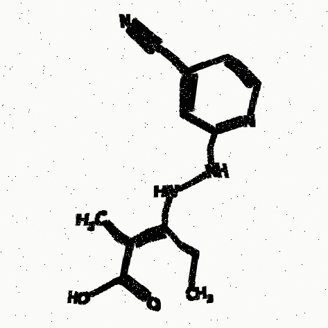 CC/C(NNc1cc(C#N)ccn1)=C(/C)C(=O)O